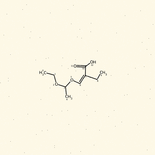 CCOC(C)OC=C(CC)C(=O)O